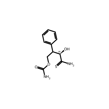 NC(=O)OCC(c1ccccc1)[C@@H](O)C(N)=S